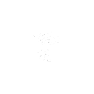 CC(c1ccccc1)N(C(=O)COc1cccc2cnccc12)c1ccc(F)cc1Cl